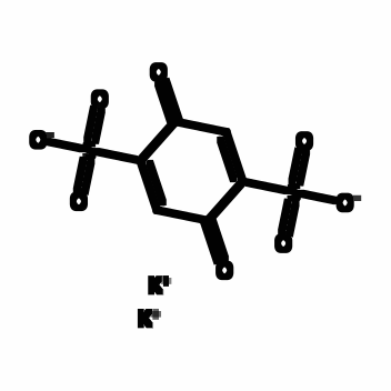 O=C1C=C(S(=O)(=O)[O-])C(=O)C=C1S(=O)(=O)[O-].[K+].[K+]